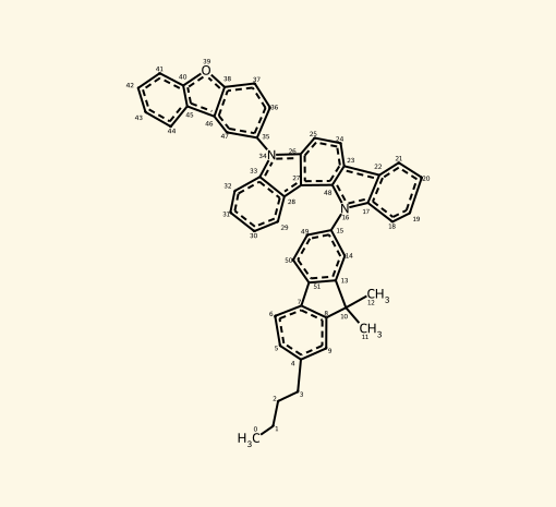 CCCCc1ccc2c(c1)C(C)(C)c1cc(-n3c4ccccc4c4ccc5c(c6ccccc6n5-c5ccc6oc7ccccc7c6c5)c43)ccc1-2